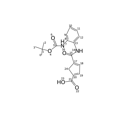 CC(C)(C)OC(=O)Nc1ccccc1NC(=O)C1=CC=C(C(=O)O)C1